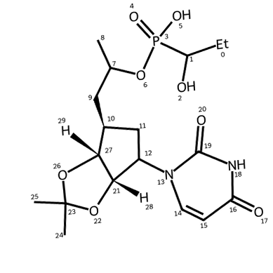 CCC(O)P(=O)(O)OC(C)C[C@H]1CC(n2ccc(=O)[nH]c2=O)[C@@H]2OC(C)(C)O[C@H]12